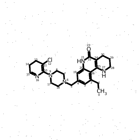 CCc1cc(CN2CCN(C3=C(Cl)CCC=N3)CC2)cc2[nH]c(=O)c3c(c12)NCCC3